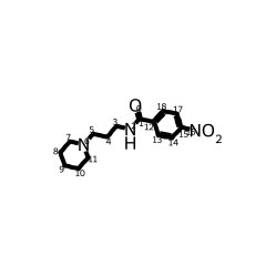 O=C(NCCCN1CCCCC1)c1ccc([N+](=O)[O-])cc1